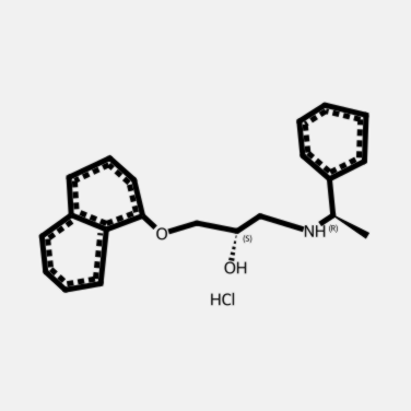 C[C@@H](NC[C@H](O)COc1cccc2ccccc12)c1ccccc1.Cl